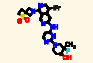 CC(C)c1cnc(N2CC3(CCS3(=O)=O)C2)c2cnc(Nc3ccnc(N4CC[C@@H](O)[C@@](C)(F)C4)n3)cc12